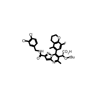 Cc1nc2cc(C(=O)NCc3ccc(Cl)c(Cl)c3)nn2c(-c2cc(F)c3c(c2C)CCCO3)c1[C@H](OC(C)(C)C)C(=O)O